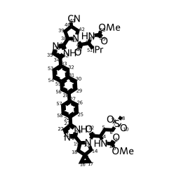 COC(=O)NC(CCS(C)(=O)=O)C(=O)N1CC2(CC2)CC1c1ncc(-c2ccc(-c3ccc4cc(-c5cnc(C6CC(C#N)CN6C(=O)C(NC(=O)OC)C(C)C)[nH]5)ccc4c3)cc2)[nH]1